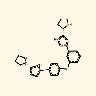 c1cc(Oc2ccc(-c3cnc([C@@H]4CCCN4)[nH]3)cc2)cc(-c2c[nH]c([C@@H]3CCCN3)n2)c1